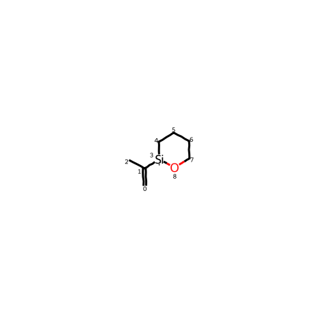 C=C(C)[Si]1CCCCO1